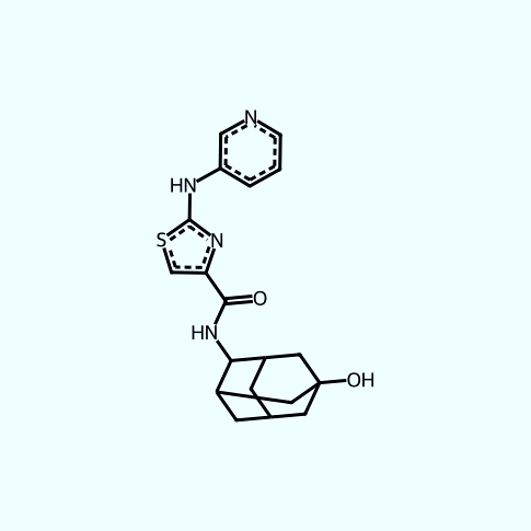 O=C(NC1C2CC3CC1CC(O)(C3)C2)c1csc(Nc2cccnc2)n1